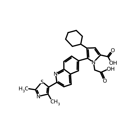 Cc1nc(C)c(-c2ccc3cc(-c4c(C5CCCCC5)cc(C(=O)O)n4CC(=O)O)ccc3n2)s1